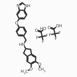 COc1cc2c(cc1OC)CC(NCc1ccc(Oc3ccc4[nH]cnc4c3)cc1)C2.O=C(O)C(F)(F)F.O=C(O)C(F)(F)F